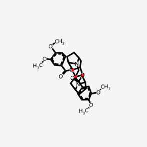 COc1ccc(C(=O)OC2CC3CCC(C2)N3CCN2C3CCC2CC(OC(=O)c2ccc(OC)c(OC)c2)C3)cc1OC